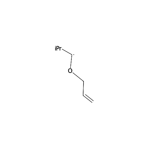 C=CCO[CH]C(C)C